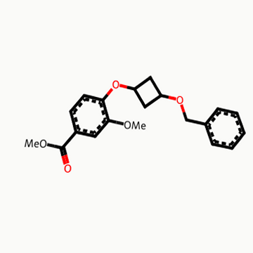 COC(=O)c1ccc(OC2CC(OCc3ccccc3)C2)c(OC)c1